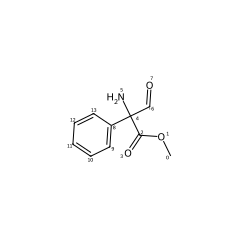 COC(=O)C(N)([C]=O)c1ccccc1